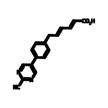 N#Cc1ncc(-c2ccc(C/C=C/C=C/C(=O)O)cc2)cn1